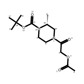 CC(=O)OCC(=O)N1CCN(C(=O)OC(C)(C)C)[C@H](C)C1